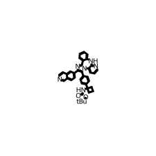 CC(C)(C)OC(=O)NC1(c2ccc(-c3c(-c4ccc5cnccc5c4)nc4n3-c3cccnc3Nc3ccccc3-4)cc2)CCC1